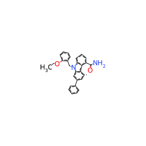 CCOc1ccccc1Cn1c2cc(-c3ccccc3)c[c]c2c2c(C(N)=O)cccc21